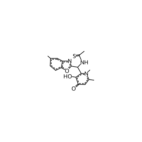 CC(=S)NC(c1nc2cc(C)ccc2o1)c1c(O)c(=O)cc(C)n1C